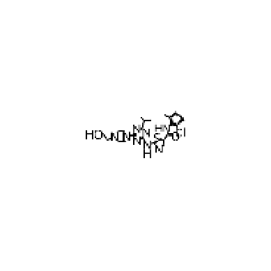 Cc1cccc(Cl)c1NC(=O)c1cnc(Nc2nc(C(C)C)nc(N3CCN(CCO)CC3)n2)s1